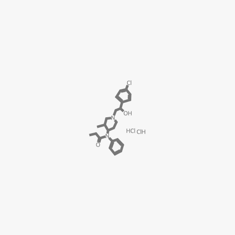 CCC(=O)N(c1ccccc1)C1CCN(CC(O)c2ccc(Cl)cc2)CC1C.Cl.Cl